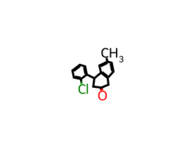 Cc1ccc2c(c1)C(c1ccccc1Cl)CC(=O)C2